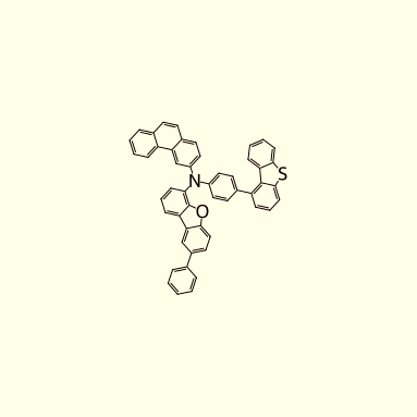 c1ccc(-c2ccc3oc4c(N(c5ccc(-c6cccc7sc8ccccc8c67)cc5)c5ccc6ccc7ccccc7c6c5)cccc4c3c2)cc1